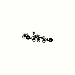 CCSC1=C(C(=O)OCc2ccc([N+](=O)[O-])cc2)N2C(=O)C(CCOC(=O)OCc3ccccc3)[C@H]2S1